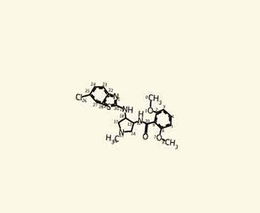 COc1cccc(OC)c1C(=O)NC1CN(C)CC1Nc1nc2ccc(Cl)cc2s1